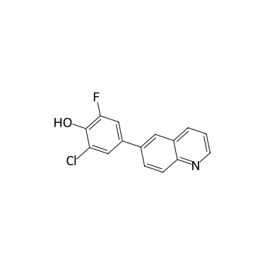 Oc1c(F)cc(-c2ccc3ncccc3c2)cc1Cl